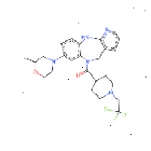 CC1CN(c2ccc3c(c2)N(C(=O)C2CCN(CC(F)(F)F)CC2)Cc2cccnc2N3)CCO1